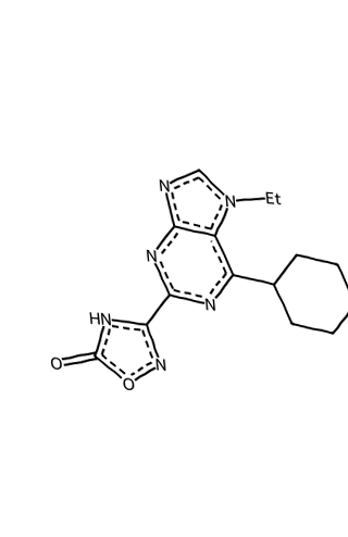 CCn1cnc2nc(-c3noc(=O)[nH]3)nc(C3CCOCC3)c21